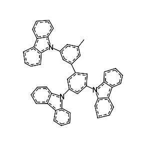 Cc1cc(-c2cc(-n3c4ccccc4c4ccccc43)cc(-n3c4ccccc4c4ccccc43)c2)cc(-n2c3ccccc3c3ccccc32)c1